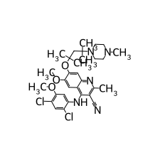 COc1cc(Nc2c(C#N)c(C)nc3cc(OC(C)(C)CC(C)(C)N4CCN(C)CC4)c(OC)cc23)c(Cl)cc1Cl